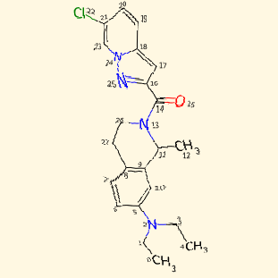 CCN(CC)c1ccc2c(c1)C(C)N(C(=O)c1cc3ccc(Cl)cn3n1)CC2